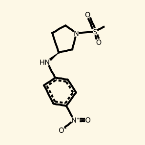 CS(=O)(=O)N1CC[C@H](Nc2ccc([N+](=O)[O-])cc2)C1